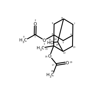 CC(=O)OC12CC3CC(C1)C(O)C(C3)C2(C)OC(C)=O